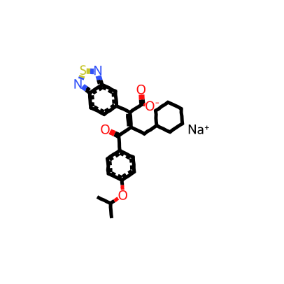 CC(C)Oc1ccc(C(=O)C(CC2CCCCC2)=C(C(=O)[O-])c2ccc3nsnc3c2)cc1.[Na+]